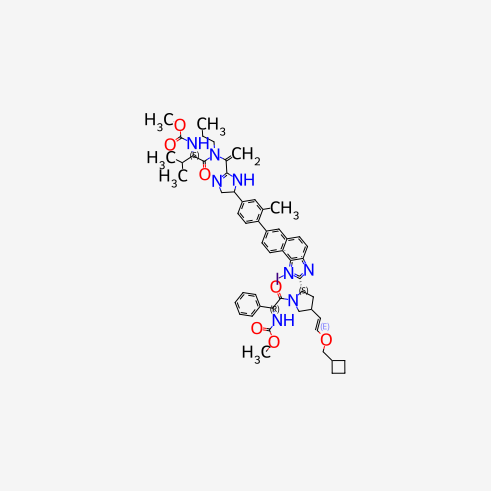 C=C(C1=NCC(c2ccc(-c3ccc4c(ccc5nc([C@@H]6CC(/C=C/OCC7CCC7)CN6C(=O)[C@H](NC(=O)OC)c6ccccc6)n(I)c54)c3)c(C)c2)N1)N(CCC)C(=O)[C@@H](NC(=O)OC)C(C)C